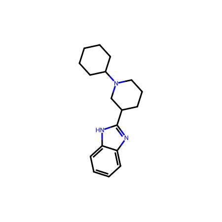 c1ccc2[nH]c(C3CCCN(C4CCCCC4)C3)nc2c1